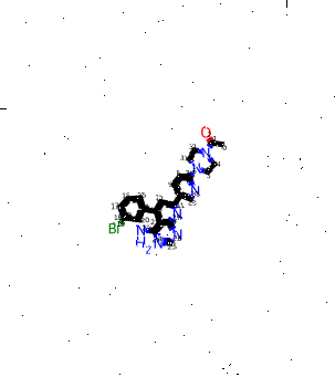 CC(=O)N1CCN(c2ccc(-c3cc(-c4cccc(Br)c4)c4c(N)ncnc4n3)cn2)CC1